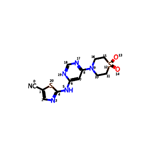 N#Cc1cnc(Nc2cc(N3CCS(=O)(=O)CC3)ncn2)s1